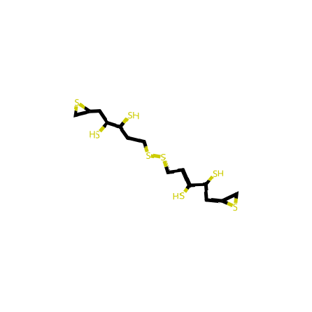 SC(CCSSCCC(S)C(S)CC1CS1)C(S)CC1CS1